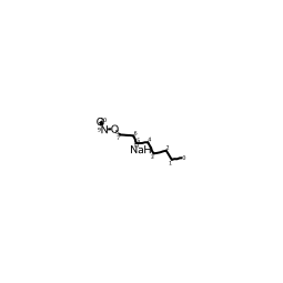 CCCCCCCCON=O.[NaH]